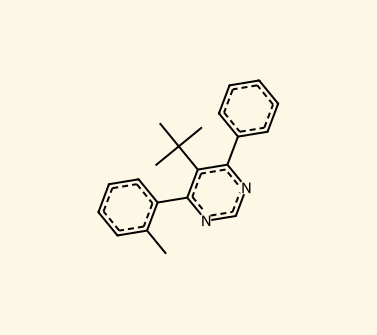 Cc1ccccc1-c1ncnc(-c2ccccc2)c1C(C)(C)C